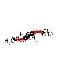 C=C(C)COCCOc1ccc(C(C)(C)c2ccc(OCCOCC(=C)C)cc2)cc1